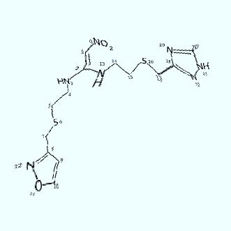 O=[N+]([O-])C=C(NCCSCc1ccon1)NCCSCc1nc[nH]n1